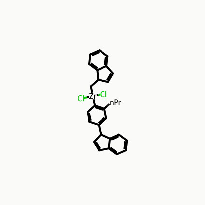 CCCc1cc(C2C=Cc3ccccc32)cc[c]1[Zr]([Cl])([Cl])[CH2]C1C=Cc2ccccc21